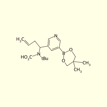 C=CCC(c1cncc(B2OCC(C)(C)CO2)c1)N(C(=O)O)C(C)(C)C